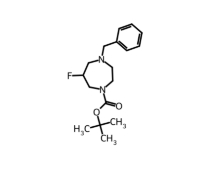 CC(C)(C)OC(=O)N1CCN(Cc2ccccc2)CC(F)C1